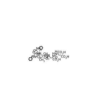 CC(C)(CCC(C)(C)NC(=O)CC[C@H](NC(=O)N[C@@H](CCC(=O)O)C(=O)O)C(=O)O)CC(=O)N[C@@H](Cc1ccccc1)C(=O)N[C@@H](Cc1ccccc1)C(N)=O